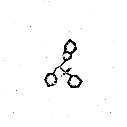 O=S(=O)(c1ccccc1)N(Cc1cccnc1)c1cc2ccccc2s1